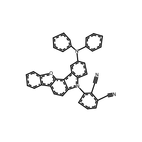 N#Cc1cccc(-n2c3ccc(N(c4ccccc4)c4ccccc4)cc3c3c4oc5ccccc5c4ccc32)c1C#N